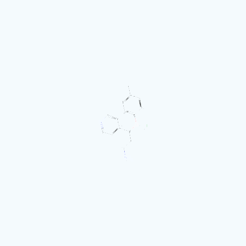 Cc1ccc(OC(CCN)c2ccncc2)cc1.Cl